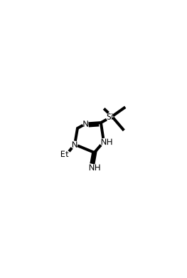 CCN1CN=C([Si](C)(C)C)NC1=N